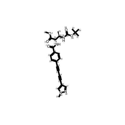 COC(=O)[C@@H](NC(=O)c1ccc(C#CC#Cc2cnn(C)c2)cc1)[C@@H](C)NC(=O)OC(C)(C)C